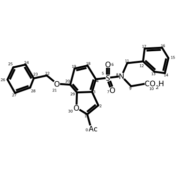 CC(=O)c1cc2c(S(=O)(=O)N(CC(=O)O)Cc3ccccc3)ccc(OCc3ccccc3)c2o1